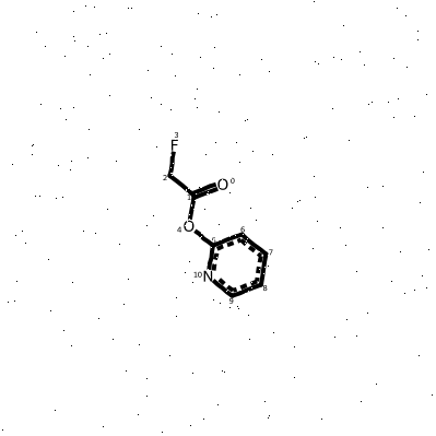 O=C(CF)Oc1ccccn1